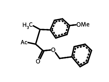 COc1ccc(C(C)C(C(C)=O)C(=O)OCc2ccccc2)cc1